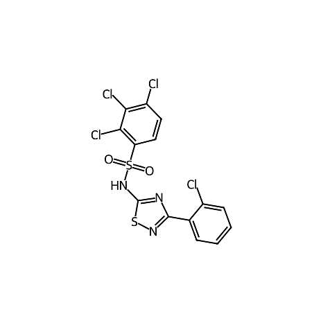 O=S(=O)(Nc1nc(-c2ccccc2Cl)ns1)c1ccc(Cl)c(Cl)c1Cl